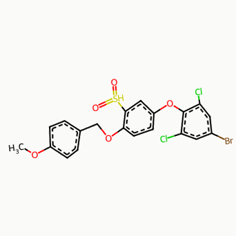 COc1ccc(COc2ccc(Oc3c(Cl)cc(Br)cc3Cl)cc2[SH](=O)=O)cc1